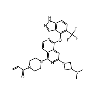 C=CC(=O)N1CCN(c2nc(N3CC(N(C)C)C3)nc3c(Oc4c(C(F)(F)F)ccc5[nH]ncc45)nccc23)CC1